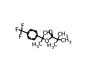 CC(C)(C)C(=O)OC(C)(C)c1ccc(C(F)(F)F)cc1